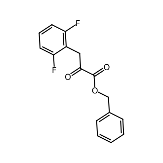 O=C(Cc1c(F)cccc1F)C(=O)OCc1ccccc1